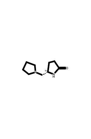 O=C1CC[C@@H](CN2CCCC2)N1